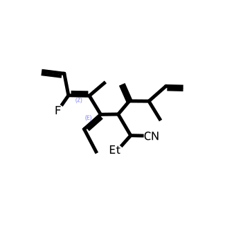 C=C/C(F)=C(C)/C(=C/C)C(C(=C)C(C)C=C)C(C#N)CC